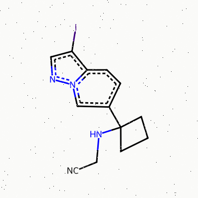 N#CCNC1(c2ccc3c(I)cnn3c2)CCC1